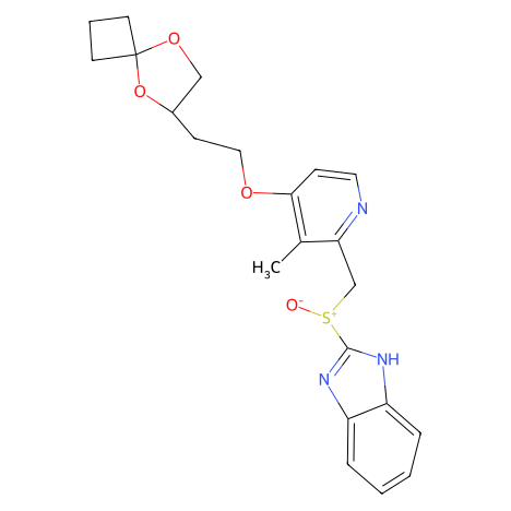 Cc1c(OCCC2COC3(CCC3)O2)ccnc1C[S+]([O-])c1nc2ccccc2[nH]1